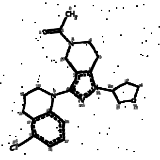 CC(=O)N1CCc2c(c(N3CCCc4c(Cl)cccc43)nn2C2CCOC2)C1